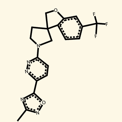 Cc1noc(-c2ccc(N3CCC4(COc5cc(C(F)(F)F)ccc54)C3)nn2)n1